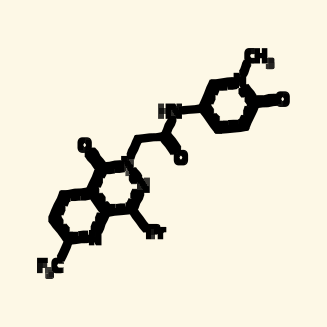 CC(C)c1nn(CC(=O)Nc2ccc(=O)n(C)c2)c(=O)c2ccc(C(F)(F)F)nc12